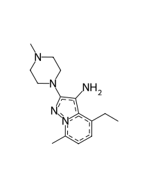 CCc1ccc(C)n2nc(N3CCN(C)CC3)c(N)c12